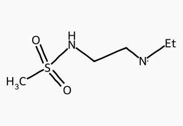 CC[N]CCNS(C)(=O)=O